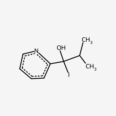 CC(C)C(O)(I)c1ccccn1